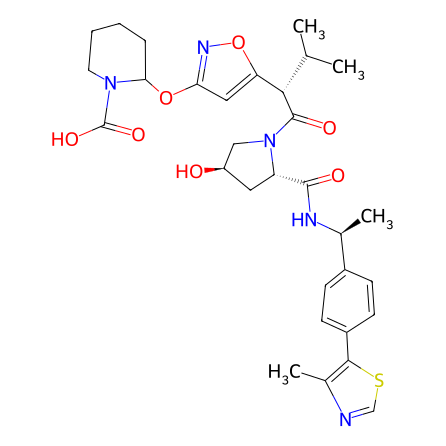 Cc1ncsc1-c1ccc([C@H](C)NC(=O)[C@@H]2C[C@@H](O)CN2C(=O)[C@H](c2cc(OC3CCCCN3C(=O)O)no2)C(C)C)cc1